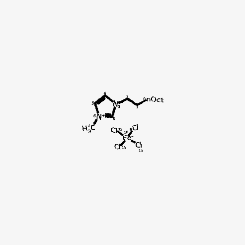 CCCCCCCCCCn1cc[n+](C)c1.[Cl][Fe-]([Cl])([Cl])[Cl]